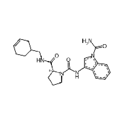 NC(=O)n1cc(NC(=O)N2CCC[C@H]2C(=O)NCC2CC=CCC2)c2ccccc21